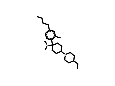 CCCCc1ccc(C2(N(C)C)CCC(N3CCC(CC)CC3)CC2)c(C)c1